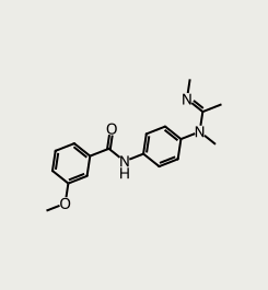 CN=C(C)N(C)c1ccc(NC(=O)c2cccc(OC)c2)cc1